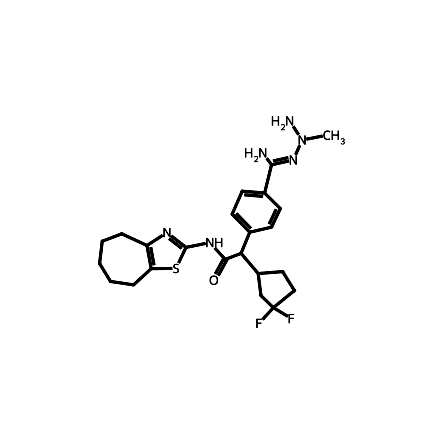 CN(N)/N=C(\N)c1ccc(C(C(=O)Nc2nc3c(s2)CCCCC3)C2CCC(F)(F)C2)cc1